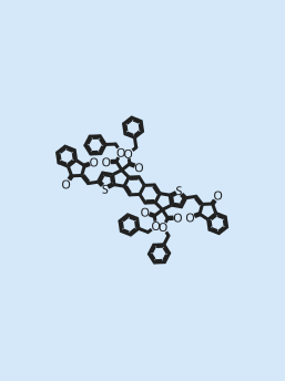 O=C1C(=Cc2cc3c(s2)C2=CC4C=C5C(=CC4C=C2C3(C(=O)OCc2ccccc2)C(=O)OCc2ccccc2)c2sc(C=C3C(=O)c4ccccc4C3=O)cc2C5(C(=O)OCc2ccccc2)C(=O)OCc2ccccc2)C(=O)c2ccccc21